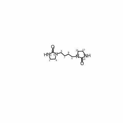 O=C1NCCN1CCCCN1CCNC1=O